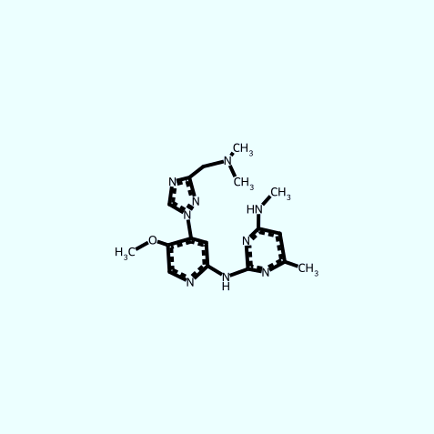 CNc1cc(C)nc(Nc2cc(-n3cnc(CN(C)C)n3)c(OC)cn2)n1